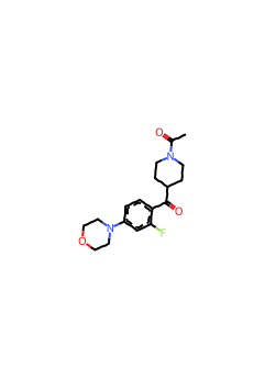 CC(=O)N1CCC(C(=O)c2ccc(N3CCOCC3)cc2F)CC1